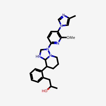 COc1nc(N2CNC3C(c4ccccc4CC(C)O)CCCN32)ccc1-n1cnc(C)c1